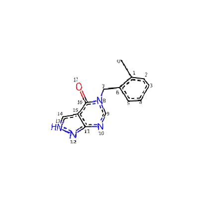 Cc1ccccc1Cn1cnc2n[nH]cc2c1=O